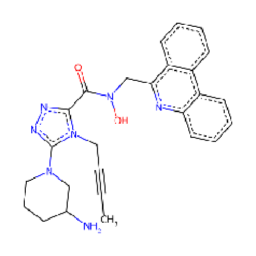 CC#CCn1c(C(=O)N(O)Cc2nc3ccccc3c3ccccc23)nnc1N1CCCC(N)C1